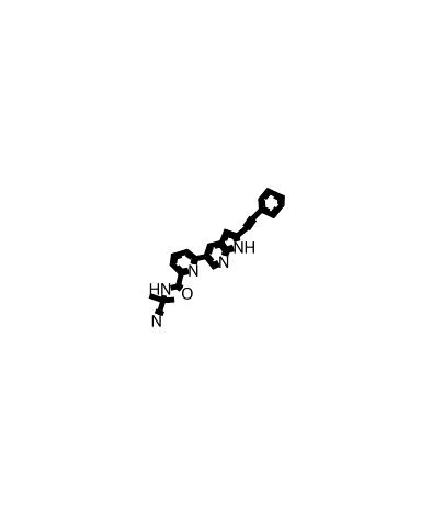 CC(C)(C#N)NC(=O)c1cccc(-c2cnc3[nH]c(C#Cc4ccccc4)cc3c2)n1